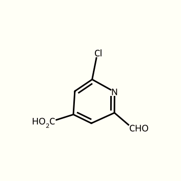 O=Cc1cc(C(=O)O)cc(Cl)n1